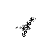 CCOP(COc1c#cc(CC(NO)C(O)CN(Cc2ccc(-c3ccccn3)cc2)NC(=O)C(NC)C(C)(C)C)cc1)OCC